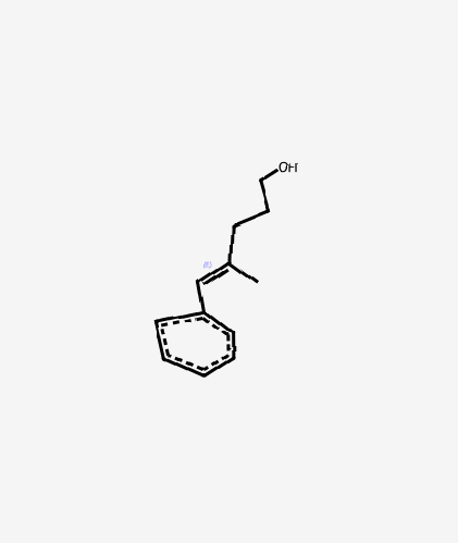 C/C(=C\c1ccccc1)CCCO